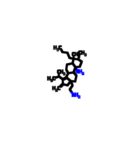 C=C1CC2(CCN)CCC3C(CCC4C(C)(CCCC)C(C)CCC34N)C2=C1C(C)C